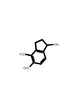 CC(=O)OC1CCc2c1ccc(C=O)c2C